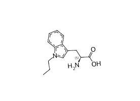 CCCn1cc(C[C@H](N)C(=O)O)c2ccccc21